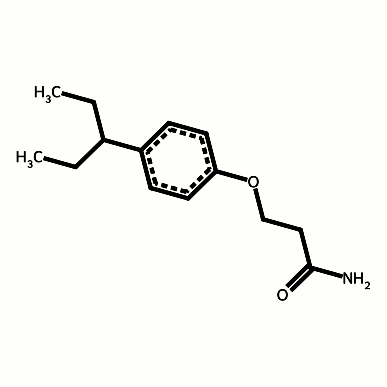 CCC(CC)c1ccc(OCCC(N)=O)cc1